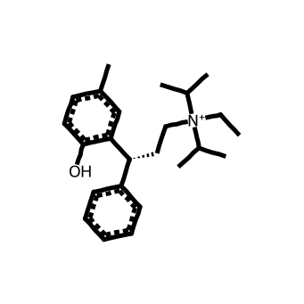 CC[N+](CC[C@H](c1ccccc1)c1cc(C)ccc1O)(C(C)C)C(C)C